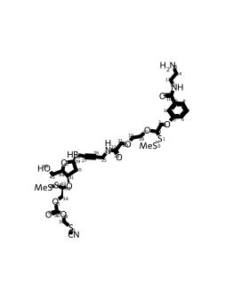 CSSC(COc1cccc(C(=O)NCCN)c1)OCCOCC(=O)NCC#CB[C@H]1C[C@@H](O[C@@H](COC(=O)OCSC#N)SSC)C(CO)O1